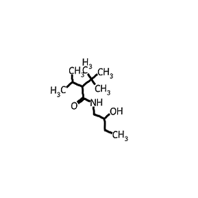 CCC(O)CNC(=O)C(C(C)C)C(C)(C)C